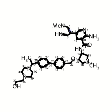 CN/C=C(\C=N)c1cnc(N)c(C(=O)N[C@H]2CN(C)C[C@@H]2OCc2ccc(-c3ccc(C(C)N4CCN(CCO)CC4)cc3)cc2)c1